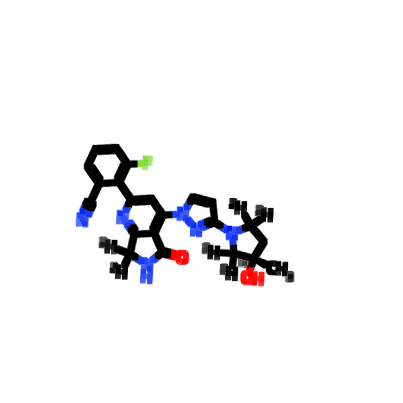 [2H]C1([2H])NC(=O)c2c(-n3ccc(N4C([2H])([2H])C[C@](C)(O)C4([2H])[2H])n3)cc(-c3c(F)cccc3C#N)nc21